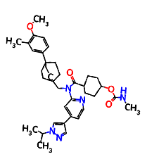 CNC(=O)OC1CCC(C(=O)N(CC23CCC(c4ccc(OC)c(C)c4)(CC2)CC3)c2cc(-c3cnn(C(C)C)c3)ccn2)CC1